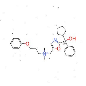 C[N+](C)(CCCOc1ccccc1)Cc1cnc([C@@](O)(c2ccccc2)C2CCCC2)o1